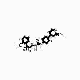 Cc1cc(-c2ccc(NC(=O)NCCC(C)c3ccccc3C)cc2)ccn1